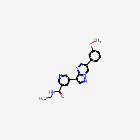 CCNC(=O)c1cncc(-c2cnn3cc(-c4cccc(OC)c4)cnc23)c1